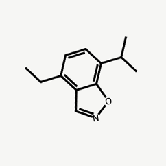 CCc1ccc(C(C)C)c2oncc12